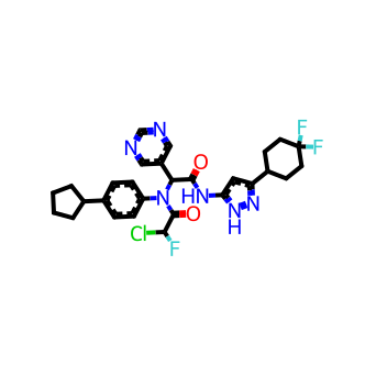 O=C(Nc1cc(C2CCC(F)(F)CC2)n[nH]1)C(c1cncnc1)N(C(=O)C(F)Cl)c1ccc(C2CCCC2)cc1